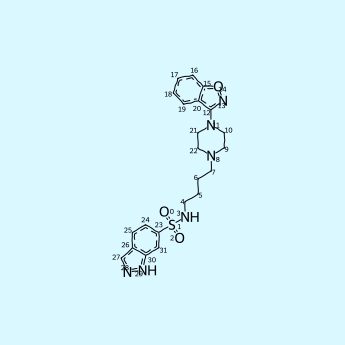 O=S(=O)(NCCCCN1CCN(c2noc3ccccc23)CC1)c1ccc2cn[nH]c2c1